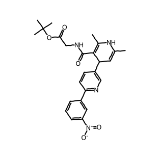 CC1=CC(c2ccc(-c3cccc([N+](=O)[O-])c3)nc2)C(C(=O)NCC(=O)OC(C)(C)C)=C(C)N1